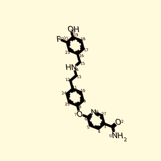 NC(=O)c1ccc(Oc2ccc(CCNCc3ccc(O)c(F)c3)cc2)nc1